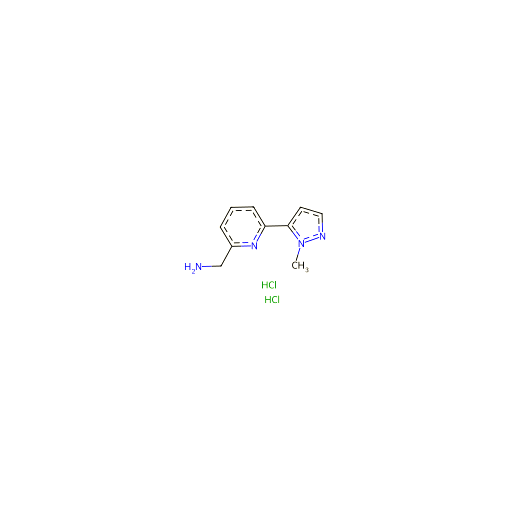 Cl.Cl.Cn1nccc1-c1cccc(CN)n1